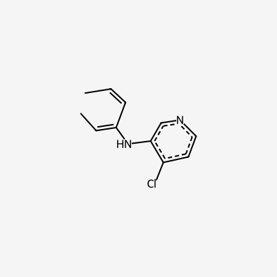 C/C=C\C(=C/C)Nc1cnccc1Cl